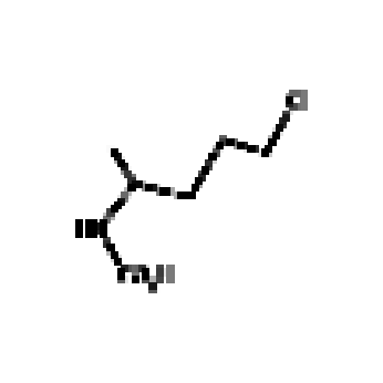 CC(CCCCl)NC(=O)O